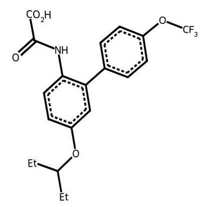 CCC(CC)Oc1ccc(NC(=O)C(=O)O)c(-c2ccc(OC(F)(F)F)cc2)c1